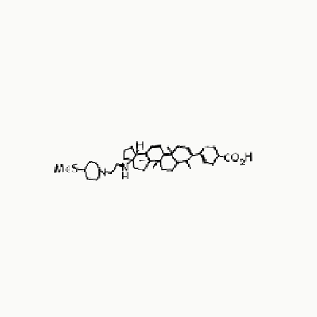 CSC1CCN(CCNC23CCC[C@@H]2C2CCC4C5(C)CC=C(C6=CCC(C(=O)O)CC6)C(C)C5CCC4(C)[C@]2(C)CC3)CC1